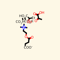 CC(=O)C(=O)O.CC(=O)O.CC(=O)O.CCC(O)C(=O)O.C[N+](C)(C)CCOC(=O)CCC(=O)[O-]